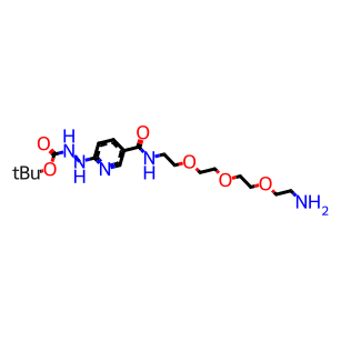 CC(C)(C)OC(=O)NNc1ccc(C(=O)NCCOCCOCCOCCN)cn1